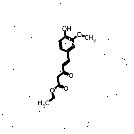 CCOC(=O)CC(=O)C=Cc1ccc(O)c(OC)c1